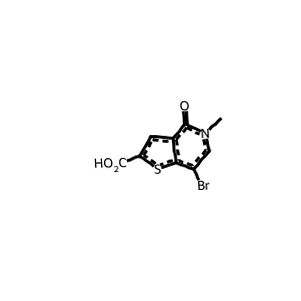 Cn1cc(Br)c2sc(C(=O)O)cc2c1=O